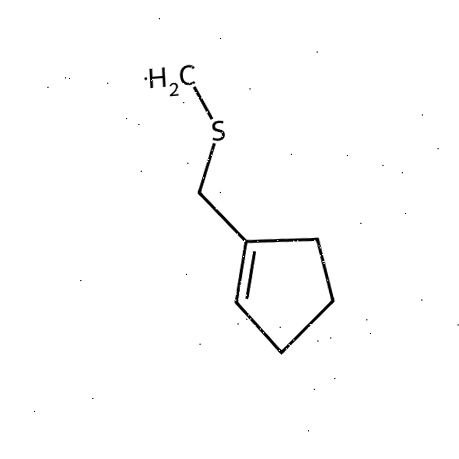 [CH2]SCC1=CCCC1